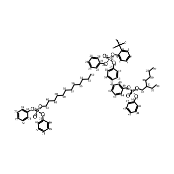 CC(C)(C)c1ccccc1OP(=O)(Oc1ccccc1)Oc1ccccc1.CCCCC(CC)COP(=O)(Oc1ccccc1)Oc1ccccc1.CCCCCCCCCCCCOP(=O)(Oc1ccccc1)Oc1ccccc1